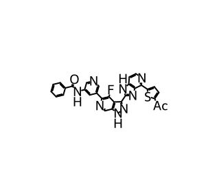 CC(=O)c1ccc(-c2nccc3[nH]c(-c4n[nH]c5cnc(-c6cncc(NC(=O)c7ccccc7)c6)c(F)c45)nc23)s1